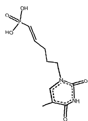 Cc1cn(CCCC=CP(=O)(O)O)c(=O)[nH]c1=O